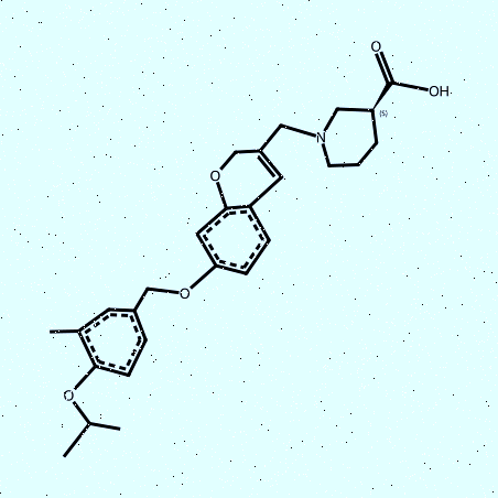 Cc1cc(COc2ccc3c(c2)OCC(CN2CCC[C@H](C(=O)O)C2)=C3)ccc1OC(C)C